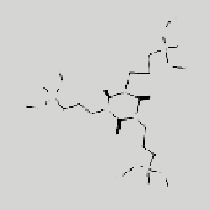 CC[Si](CCCn1c(=O)n(CCC[Si](CC)(OC(C)C)OC(C)C)c(=O)n(CCC[Si](CC)(OC(C)C)OC(C)C)c1=O)(OC(C)C)OC(C)C